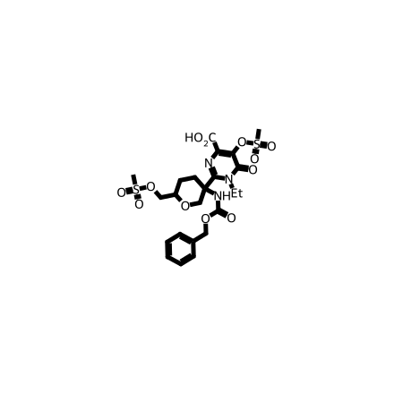 CCn1c(C2(NC(=O)OCc3ccccc3)CCC(COS(C)(=O)=O)OC2)nc(C(=O)O)c(OS(C)(=O)=O)c1=O